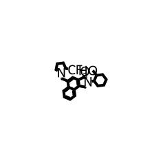 O=C1c2cc(CN3CCCC3C(F)(F)F)c3ccccc3c2CN1C1CCCCC1O